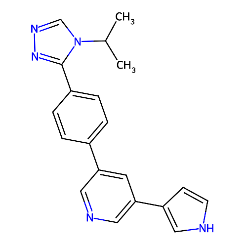 CC(C)n1cnnc1-c1ccc(-c2cncc(-c3cc[nH]c3)c2)cc1